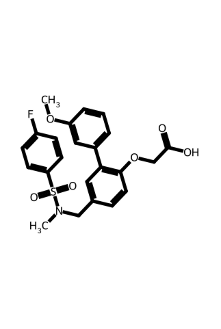 COc1cccc(-c2cc(CN(C)S(=O)(=O)c3ccc(F)cc3)ccc2OCC(=O)O)c1